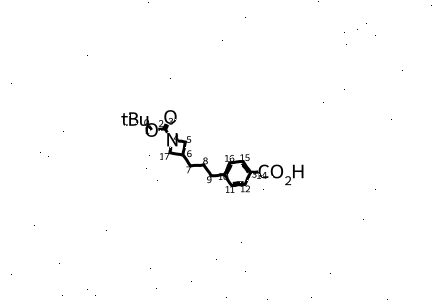 CC(C)(C)OC(=O)N1CC(CCCc2ccc(C(=O)O)cc2)C1